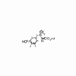 C[C@H](Cc1cccc(O)c1)NC(=O)O